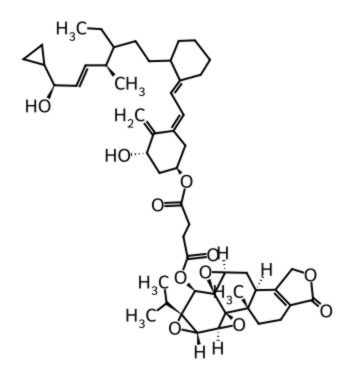 C=C1/C(=C\C=C2/CCCCC2CCC(CC)[C@@H](C)/C=C/[C@@H](O)C2CC2)C[C@@H](OC(=O)CCC(=O)O[C@@H]2[C@@]3(C(C)C)O[C@H]3[C@@H]3O[C@]34[C@]23O[C@H]3C[C@H]2C3=C(CC[C@@]24C)C(=O)OC3)C[C@@H]1O